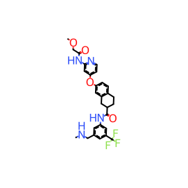 CNCc1cc(NC(=O)C2CCc3ccc(Oc4ccnc(NC(=O)COC)c4)cc3C2)cc(C(F)(F)F)c1